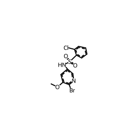 COc1cc(NS(=O)(=O)c2ccccc2Cl)cnc1Br